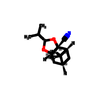 CC(C)B1O[C@@H]2C[C@@H]3C[C@@H](C3(C)C)[C@]2(C#N)O1